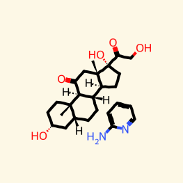 C[C@]12CC[C@@H](O)C[C@H]1CC[C@@H]1[C@@H]2C(=O)C[C@@]2(C)[C@H]1CC[C@]2(O)C(=O)CO.Nc1ccccn1